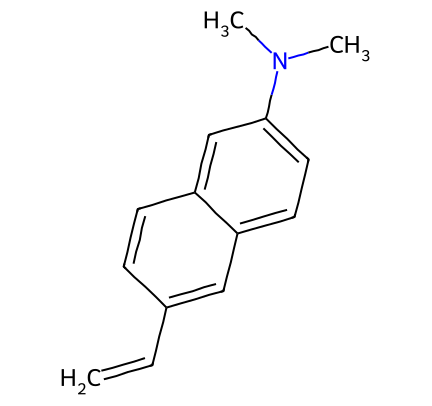 C=Cc1ccc2cc(N(C)C)ccc2c1